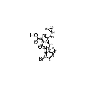 C[C@@]1(c2cc(Br)ccc2F)Cn2c(CC3CC3)nc(C(=O)O)c2C(=O)N1